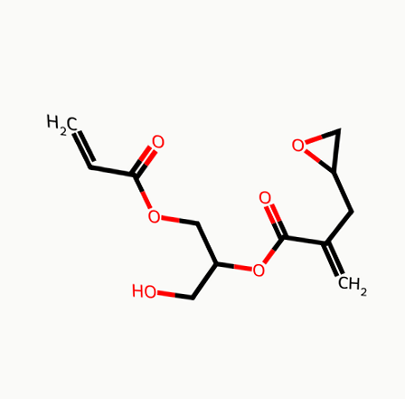 C=CC(=O)OCC(CO)OC(=O)C(=C)CC1CO1